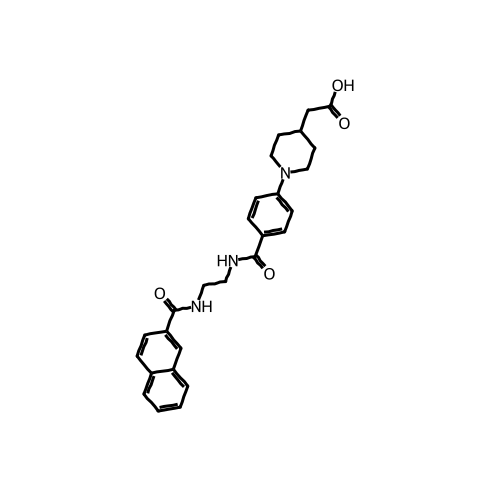 O=C(O)CC1CCN(c2ccc(C(=O)NCCNC(=O)c3ccc4ccccc4c3)cc2)CC1